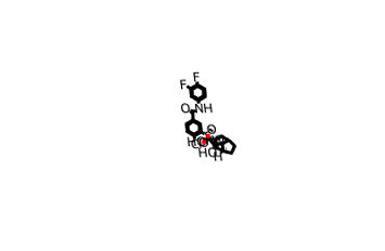 O=C(Nc1ccc(F)c(F)c1)c1ccc(Cl)c(S(=O)(=O)[C@@H]2CC3CC[C@@H](C2)[C@@]3(O)[C@@H](O)CO)c1